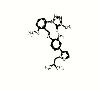 COc1cccc(-n2nnn(C)c2=O)c1COc1ccc(-c2ccnn2CC(C)C)cc1C